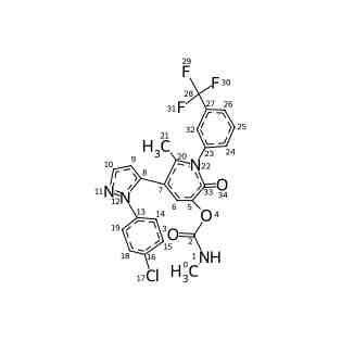 CNC(=O)Oc1cc(-c2ccnn2-c2ccc(Cl)cc2)c(C)n(-c2cccc(C(F)(F)F)c2)c1=O